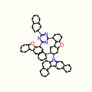 c1ccc(-c2cc3c(cc2-n2c4cc5ccccc5cc4c4c5ccccc5ccc42)oc2cccc(-c4nc(-c5ccc6ccccc6c5)nc(-c5cccc6c5oc5ccccc56)n4)c23)cc1